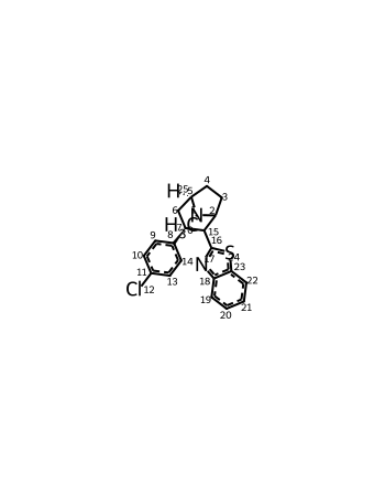 CN1C2CC[C@@H]1C[C@H](c1ccc(Cl)cc1)C2c1nc2ccccc2s1